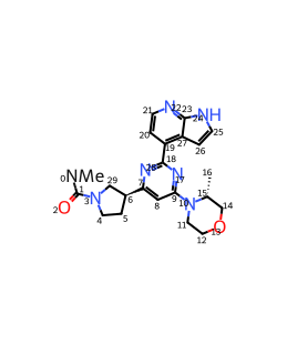 CNC(=O)N1CC[C@H](c2cc(N3CCOC[C@H]3C)nc(-c3ccnc4[nH]ccc34)n2)C1